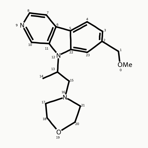 COCc1ccc2c3ccncc3n(C(C)CN3CCOCC3)c2c1